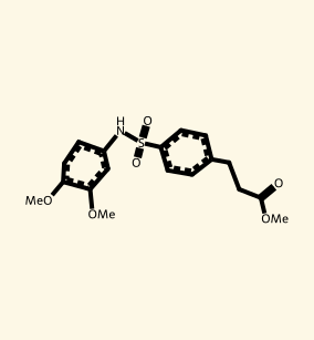 COC(=O)CCc1ccc(S(=O)(=O)Nc2ccc(OC)c(OC)c2)cc1